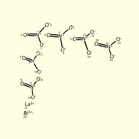 O=[N+]([O-])[O-].O=[N+]([O-])[O-].O=[N+]([O-])[O-].O=[N+]([O-])[O-].O=[N+]([O-])[O-].O=[N+]([O-])[O-].[Bi+3].[La+3]